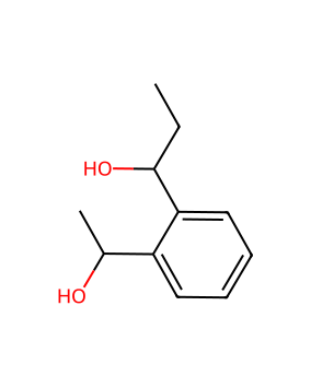 CCC(O)c1ccccc1C(C)O